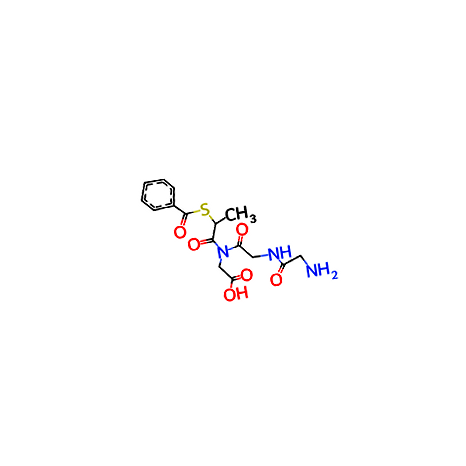 CC(SC(=O)c1ccccc1)C(=O)N(CC(=O)O)C(=O)CNC(=O)CN